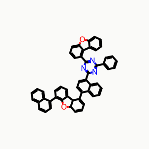 C1=CC2Oc3c(-c4cccc5ccccc45)cccc3C2C(c2ccc(-c3nc(-c4ccccc4)nc(-c4cccc5oc6ccccc6c45)n3)c3ccccc23)=C1